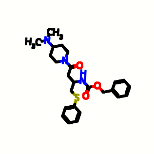 CN(C)C1CCN(C(=O)CC(CSc2ccccc2)NC(=O)OCc2ccccc2)CC1